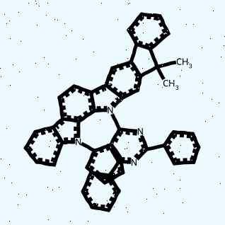 CC1(C)c2ccccc2-c2cc3c4ccc5c6ccccc6n(-c6ccccc6)c5c4n(-c4nc(-c5ccccc5)nc(-c5ccccc5)n4)c3cc21